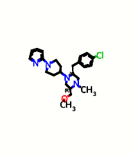 COC[C@H]1CN(C2CCN(c3ccccn3)CC2)[C@@H](Cc2ccc(Cl)cc2)CN1C